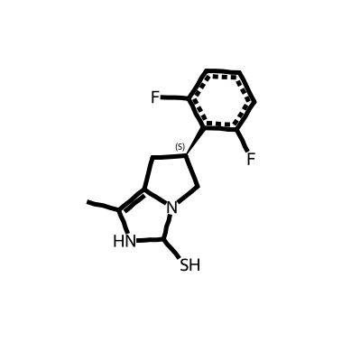 CC1=C2C[C@@H](c3c(F)cccc3F)CN2C(S)N1